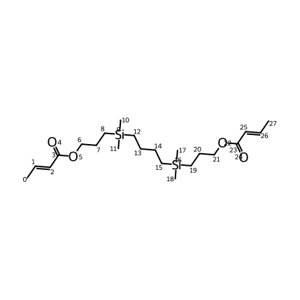 CC=CC(=O)OCCC[Si](C)(C)CCCC[Si](C)(C)CCCOC(=O)C=CC